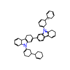 C1=CC[C@@H](C2C=CC=C(n3c4c(c5ccc(C6=CC7=C(CC6)C6C=CC=CC6N7C6=CCCC(C7C=CCCC7)C6)cc53)C=CCC4)C2)C=C1